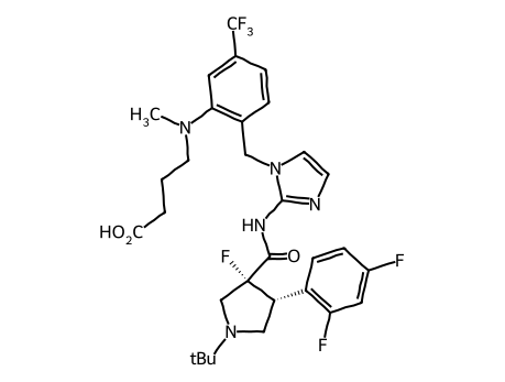 CN(CCCC(=O)O)c1cc(C(F)(F)F)ccc1Cn1ccnc1NC(=O)[C@]1(F)CN(C(C)(C)C)C[C@H]1c1ccc(F)cc1F